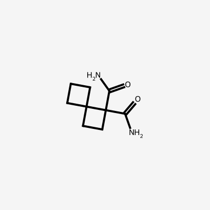 NC(=O)C1(C(N)=O)CCC12CCC2